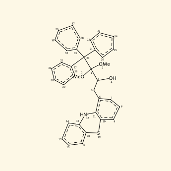 COC(OC)(C(O)Cc1cccc2c1Nc1ccccc1S2)C(c1ccccc1)(c1ccccc1)c1ccccc1